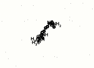 COC(=O)NC(C(=O)N1CCCC1c1nc2c([nH]1)-c1ccc(-c3ccc4cc(-c5cnc(C6CCCN6C(=O)C(N)c6ccccc6)[nH]5)ccc4c3)cc1CC2)C(C)C